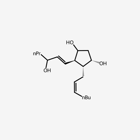 CCCC/C=C\C[C@H]1[C@@H](O)CC(O)[C@@H]1/C=C/C(O)CCC